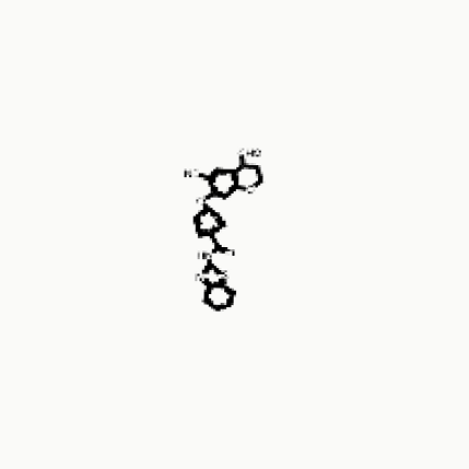 N#Cc1cc2c(cc1Oc1ccc(C(=O)Nc3nc4ccccc4s3)cc1)OCCC2C=O